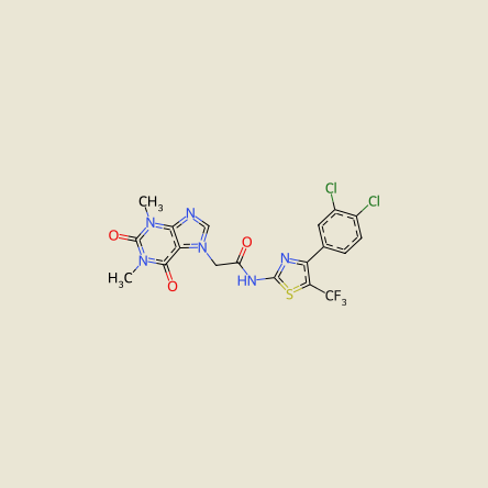 Cn1c(=O)c2c(ncn2CC(=O)Nc2nc(-c3ccc(Cl)c(Cl)c3)c(C(F)(F)F)s2)n(C)c1=O